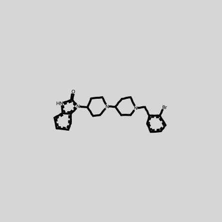 O=c1[nH]c2ccccc2n1C1CCN(C2CCN(Cc3ccccc3Br)CC2)CC1